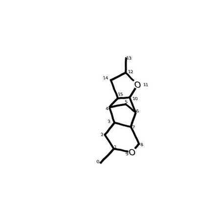 CC1CC2C3CC(C2CO1)C1OC(C)CC31